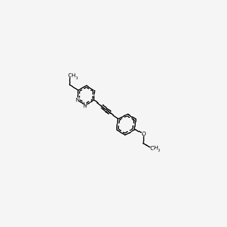 CCOc1ccc(C#Cc2ccc(CC)nn2)cc1